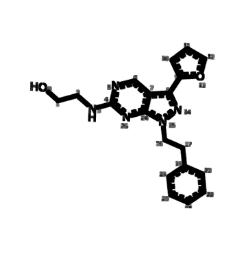 OCCNc1ncc2c(-c3ccco3)nn(CCc3ccccc3)c2n1